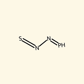 P=NN=S